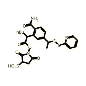 CCCCC(C(=O)ON1C(=O)CC(S(=O)(=O)O)C1=O)c1cc(C(C)SSc2ccccn2)ccc1C(N)=O